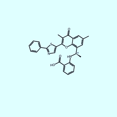 Cc1cc([C@@H](C)Nc2ccccc2C(=O)O)c2oc(-c3cnc(-c4ccccc4)s3)c(C)c(=O)c2c1